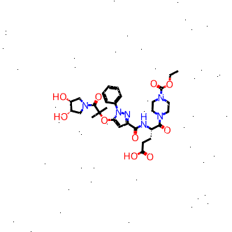 CCOC(=O)N1CCN(C(=O)[C@H](CCC(=O)O)NC(=O)c2cc(OC(C)(C)C(=O)N3C[C@H](O)[C@@H](O)C3)n(-c3ccccc3)n2)CC1